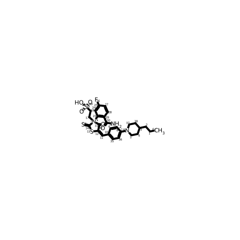 CCCC1CCN(c2ccc(C=C3SC(=S)[N+](CCS(=O)(=O)O)(c4cc(F)ccc4C(N)=O)C3=O)cc2)CC1